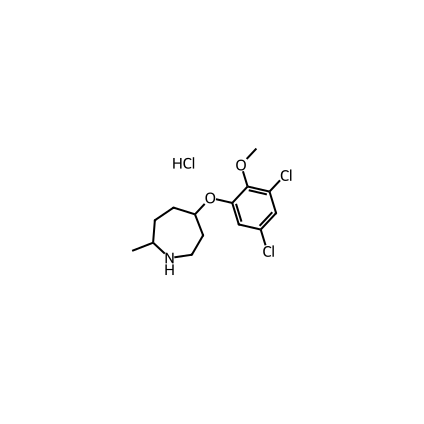 COc1c(Cl)cc(Cl)cc1OC1CCNC(C)CC1.Cl